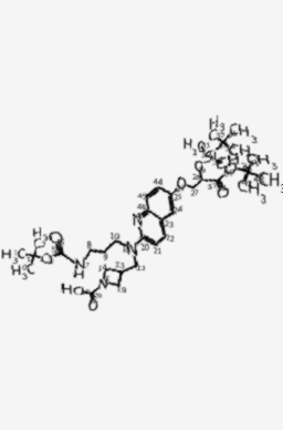 CC(C)(C)OC(=O)NCCCN(CC1CN(C(=O)O)C1)c1ccc2cc(OCC(O[Si](C)(C)C(C)(C)C)C(=O)OC(C)(C)C)ccc2n1